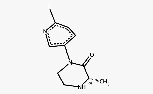 C[C@@H]1NCCN(c2ccc(I)nc2)C1=O